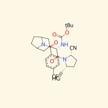 C#C[C@H]1CC[C@@H](C#N)N1C(=O)[C@@H](NC(=O)OC(C)(C)C)C1CC2CCC(C1)N2C(=O)c1ccc(C(F)(F)F)cc1